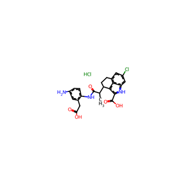 CC(C(=O)Nc1ccc(N)cc1CC(=O)O)C1CCc2cc(Cl)cc3[nH]c(C(=O)O)c1c23.Cl